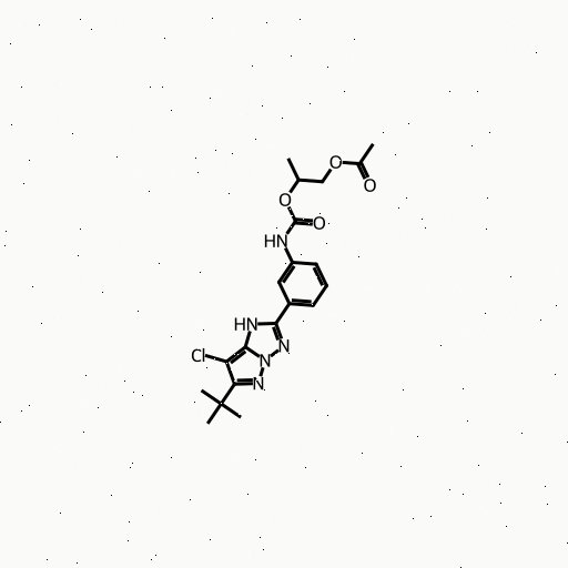 CC(=O)OCC(C)OC(=O)Nc1cccc(-c2nn3nc(C(C)(C)C)c(Cl)c3[nH]2)c1